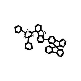 c1ccc(-c2nc(-c3ccccc3)nc(-c3cccc4oc5c(-c6ccc7c(c6)C6(c8ccccc8-c8ccccc86)c6ccccc6-7)cccc5c34)n2)cc1